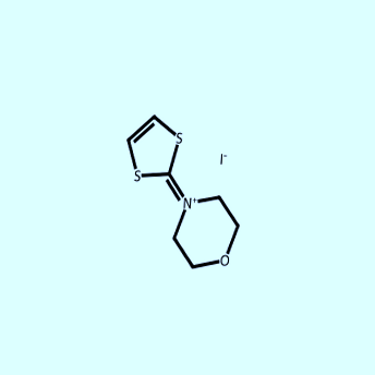 [I-].c1csc(=[N+]2CCOCC2)s1